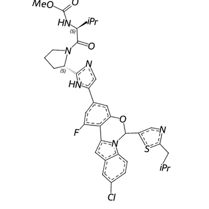 COC(=O)N[C@H](C(=O)N1CCC[C@H]1c1ncc(-c2cc(F)c3c(c2)OC(c2cnc(CC(C)C)s2)n2c-3cc3cc(Cl)ccc32)[nH]1)C(C)C